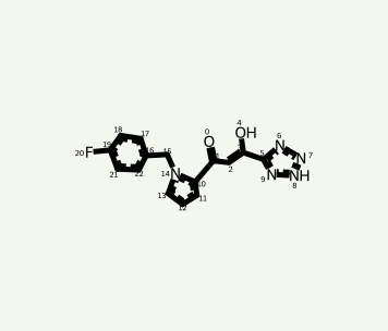 O=C(C=C(O)c1nn[nH]n1)c1cccn1Cc1ccc(F)cc1